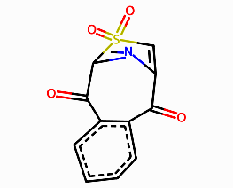 O=C1C2=CS(=O)(=O)C(=N2)C(=O)c2ccccc21